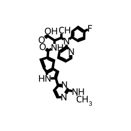 CNc1nccc(-c2cc3cc(C(=O)NC(C(=O)O)C(C)N(c4ccc(F)cc4)c4ccccn4)ccc3[nH]2)n1